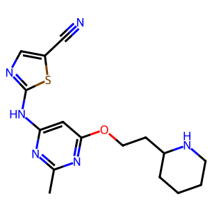 Cc1nc(Nc2ncc(C#N)s2)cc(OCCC2CCCCN2)n1